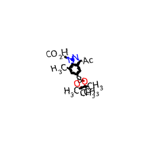 CC(=O)c1nn(CC(=O)O)c2c(C)cc(B3OC(C)(C)C(C)(C)O3)cc12